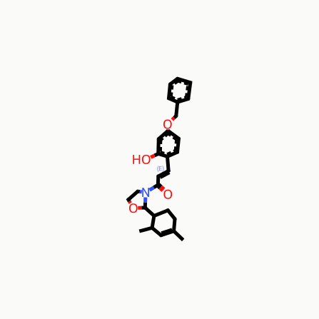 CC1=CC(C)C(C2OCCN2C(=O)/C=C/c2ccc(OCc3ccccc3)cc2O)CC1